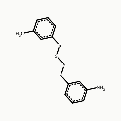 Cc1cccc(SSSSc2cccc(N)c2)c1